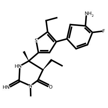 CCc1sc([C@@]2(C)NC(=N)N(C)C(=O)[C@@H]2CC)cc1-c1ccc(F)c(N)c1